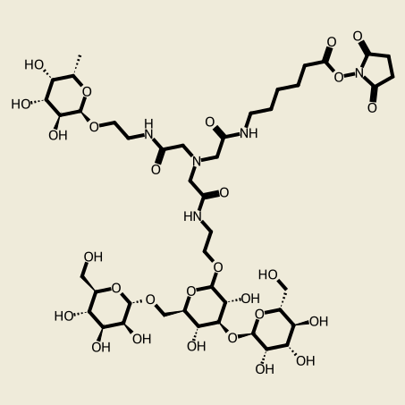 C[C@@H]1O[C@@H](OCCNC(=O)CN(CC(=O)NCCCCCC(=O)ON2C(=O)CCC2=O)CC(=O)NCCOC2O[C@H](CO[C@H]3O[C@H](CO)[C@@H](O)[C@H](O)[C@@H]3O)[C@@H](O)[C@H](O[C@H]3O[C@H](CO)[C@@H](O)[C@H](O)[C@@H]3O)[C@H]2O)[C@@H](O)[C@H](O)[C@@H]1O